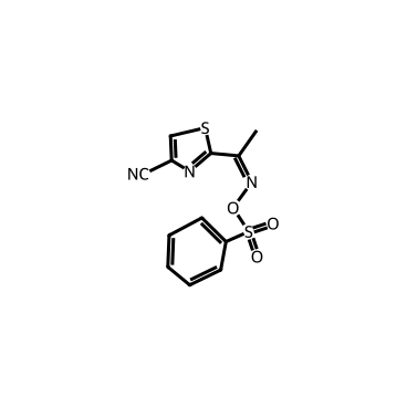 CC(=NOS(=O)(=O)c1ccccc1)c1nc(C#N)cs1